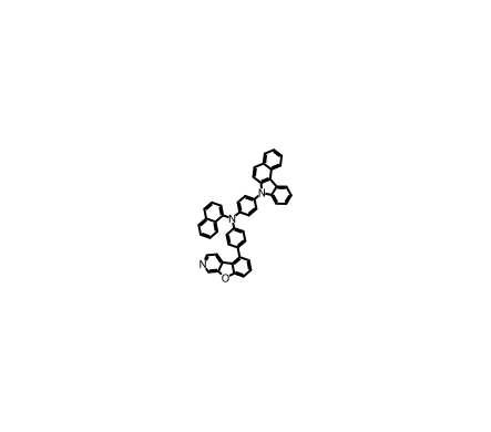 c1ccc2c(N(c3ccc(-c4cccc5oc6cnccc6c45)cc3)c3ccc(-n4c5ccccc5c5c6ccccc6ccc54)cc3)cccc2c1